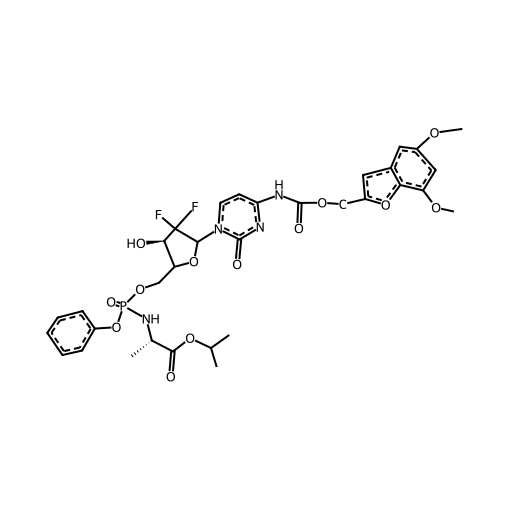 COc1cc(OC)c2oc(COC(=O)Nc3ccn(C4OC(COP(=O)(N[C@@H](C)C(=O)OC(C)C)Oc5ccccc5)[C@@H](O)C4(F)F)c(=O)n3)cc2c1